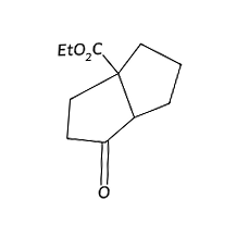 CCOC(=O)C12CCCC1C(=O)CC2